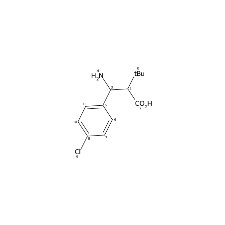 CC(C)(C)C(C(=O)O)C(N)c1ccc(Cl)cc1